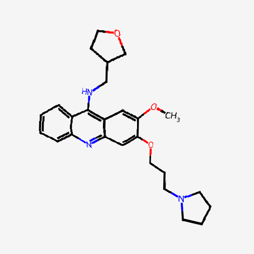 COc1cc2c(NCC3CCOC3)c3ccccc3nc2cc1OCCCN1CCCC1